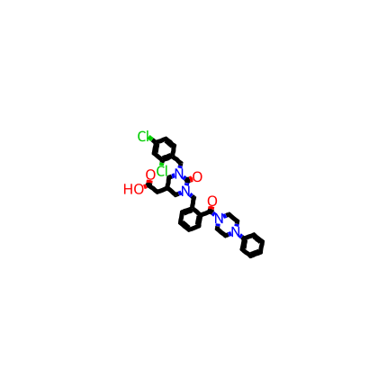 O=C(O)CC1CN(Cc2ccc(Cl)cc2Cl)C(=O)N(Cc2ccccc2C(=O)N2CCN(c3ccccc3)CC2)C1